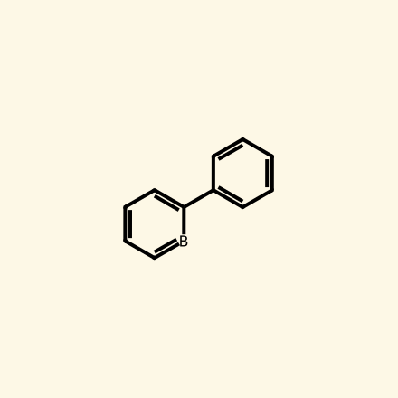 b1ccccc1-c1ccccc1